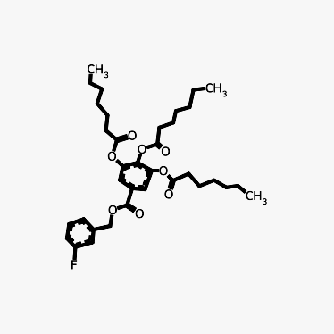 CCCCCCC(=O)Oc1cc(C(=O)OCc2cccc(F)c2)cc(OC(=O)CCCCCC)c1OC(=O)CCCCCC